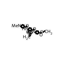 C=CCOC(=O)c1ccc(NC(=O)c2ccc(NC(=O)c3ccc(NC)cc3)c(OC(C)C)c2OCC=C)cc1